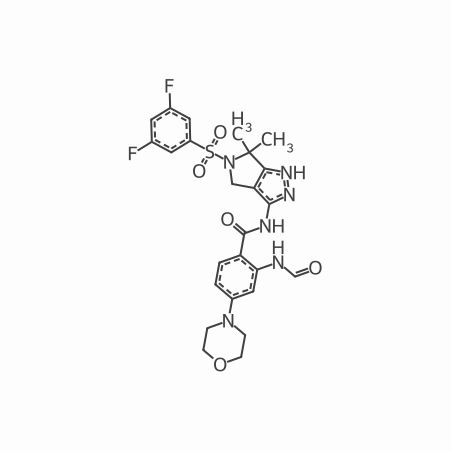 CC1(C)c2[nH]nc(NC(=O)c3ccc(N4CCOCC4)cc3NC=O)c2CN1S(=O)(=O)c1cc(F)cc(F)c1